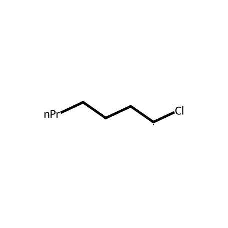 CCCCCC[CH]Cl